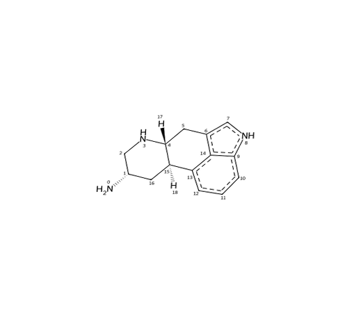 N[C@@H]1CN[C@@H]2Cc3c[nH]c4cccc(c34)[C@H]2C1